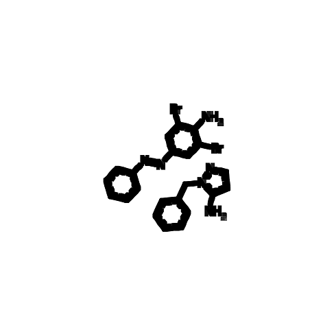 Nc1c(Br)cc(N=Nc2ccccc2)cc1Br.Nc1ccnn1Cc1ccccc1